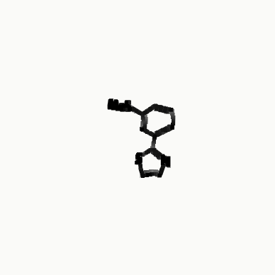 CSc1cccc(-c2nccs2)c1